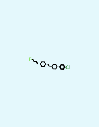 FCCC=C[C@H]1CC[C@H](CC[C@H]2CC[C@H](c3ccc(Cl)cc3)CC2)CC1